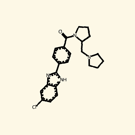 O=C(c1ccc(-c2nc3cc(Cl)ccc3[nH]2)cc1)N1CCCC1CN1CCCC1